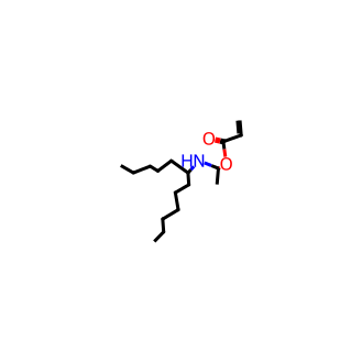 C=CC(=O)OC(C)NC(CCCCC)CCCCCC